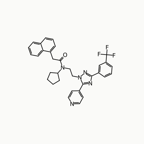 O=C(Cc1cccc2ccccc12)N(CCn1nc(-c2cccc(C(F)(F)F)c2)nc1-c1ccncc1)C1CCCC1